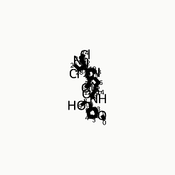 COc1cccc([C@@H](CO)NC(=O)[C@@H](C)N2Cc3ncc(-c4nc(Cl)ncc4Cl)cc3C2=O)c1